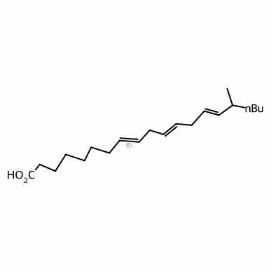 CCCCC(C)C=CCC=CC/C=C/CCCCCCC(=O)O